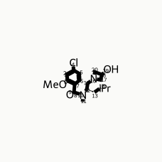 COc1cc(Cl)ccc1C(=O)N(C)[C@@H](CC(C)C)CN1CC(O)C1